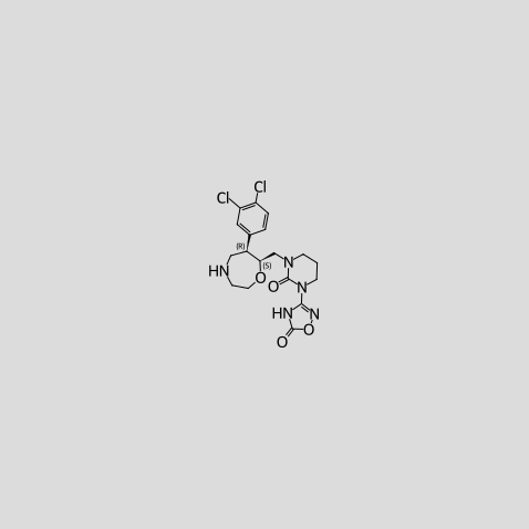 O=C1N(C[C@H]2OCCNC[C@H]2c2ccc(Cl)c(Cl)c2)CCCN1c1noc(=O)[nH]1